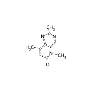 Cc1ncc2c(n1)c(C)cc(=O)n2C